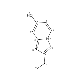 CCc1cn2ccc(O)cc2n1